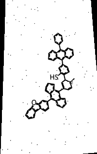 C[C@H]1C=CC(c2c3ccccc3c(-c3ccc4c(c3)oc3ccccc34)c3ccccc23)=CC1c1ccc(-c2c3ccccc3c(-c3ccccc3)c3ccccc23)cc1S